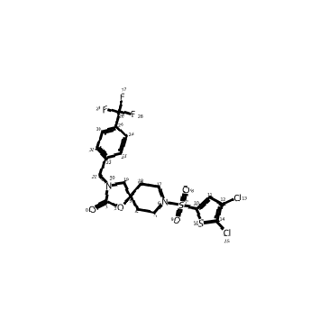 O=C1OC2(CCN(S(=O)(=O)c3cc(Cl)c(Cl)s3)CC2)CN1Cc1ccc(C(F)(F)F)cc1